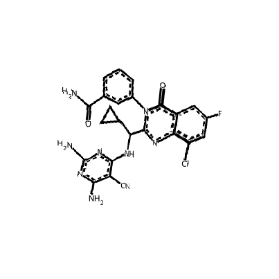 N#Cc1c(N)nc(N)nc1NC(c1nc2c(Cl)cc(F)cc2c(=O)n1-c1cccc(C(N)=O)c1)C1CC1